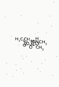 Cc1cc(C)c(CNC(=O)c2ccn(CC(C)C)c(=O)c2)c(=O)[nH]1